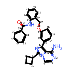 Nc1nccn2c(C3CCC3)nc(-c3cccc(OCc4ccccc4NC(=O)c4ccccc4)c3)c12